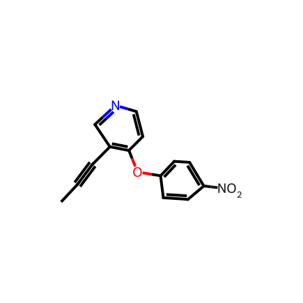 CC#Cc1cnccc1Oc1ccc([N+](=O)[O-])cc1